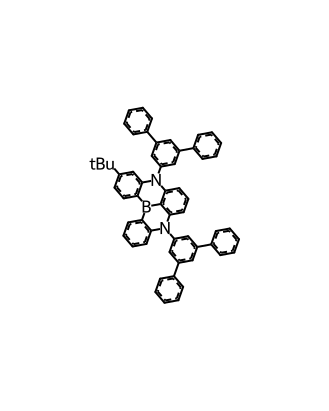 CC(C)(C)c1ccc2c(c1)N(c1cc(-c3ccccc3)cc(-c3ccccc3)c1)c1cccc3c1B2c1ccccc1N3c1cc(-c2ccccc2)cc(-c2ccccc2)c1